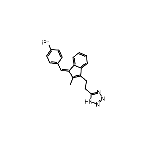 CC1=C(CCc2nnn[nH]2)c2ccccc2C1=Cc1ccc(C(C)C)cc1